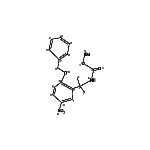 CC(C)(C)OC(=O)NC(C)(C)c1cc([N+](=O)[O-])ccc1OCc1ccccc1